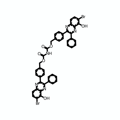 O=C(NC(=O)OCc1ccc(-c2nc3ccc(Br)c(O)c3nc2-c2ccccc2)cc1)OCc1ccc(-c2nc3ccc(Br)c(O)c3nc2-c2ccccc2)cc1